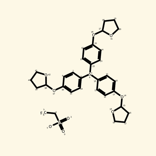 O=S(=O)([O-])CC(F)(F)F.c1cc([S+](c2ccc(OC3CCCO3)cc2)c2ccc(OC3CCCO3)cc2)ccc1OC1CCCO1